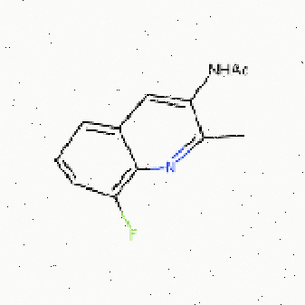 CC(=O)Nc1cc2cccc(F)c2nc1C